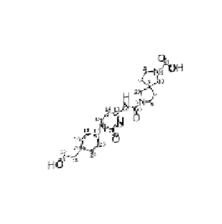 O=C(O)N1CCC2(CCN(C(=O)Nc3ccn(-c4ccc(CCO)cc4)c(=O)n3)C2)C1